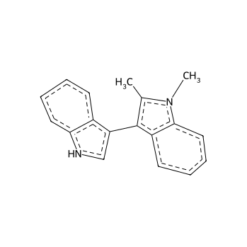 Cc1c(-c2c[nH]c3ccccc23)c2ccccc2n1C